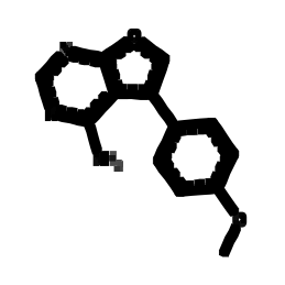 COc1ccc(-c2coc3ncnc(N)c23)cc1